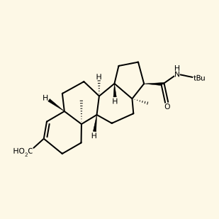 CC(C)(C)NC(=O)[C@@H]1CC[C@H]2[C@@H]3CC[C@H]4C=C(C(=O)O)CC[C@]4(C)[C@H]3CC[C@]12C